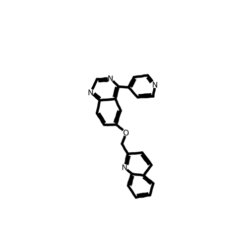 c1ccc2nc(COc3ccc4ncnc(-c5ccncc5)c4c3)ccc2c1